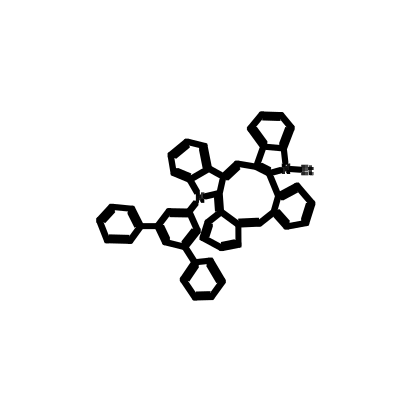 CCn1c2ccccc2c2cc3c4ccccc4n(-c4cc(-c5ccccc5)cc(-c5ccccc5)c4)c3c3ccccc3cc3ccccc3c21